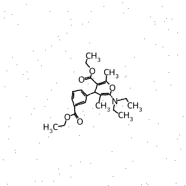 CCOC(=O)C1=C(C)OC(N(CC)CC)=C(C)C1c1cccc(C(=O)OCC)c1